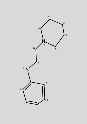 c1ccc(SCCN2CCCCC2)cc1